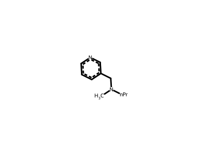 CCCN(C)Cc1cccnc1